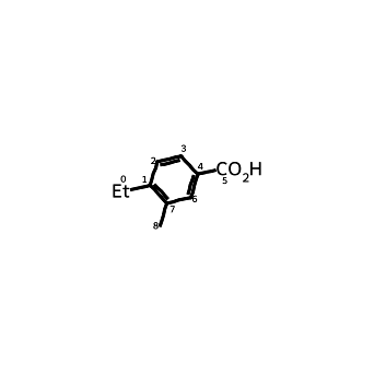 CCc1ccc(C(=O)O)cc1C